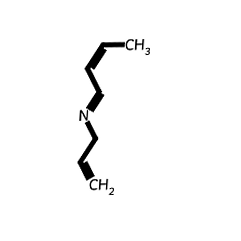 C=CC/N=C/C=C\C